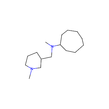 CN1CCCC(CN(C)C2CCCCCCC2)C1